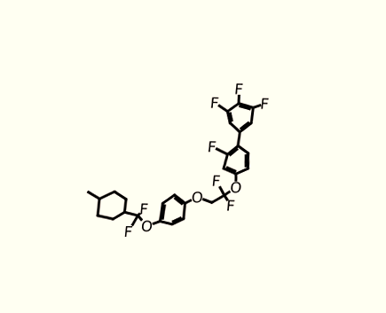 CC1CCC(C(F)(F)Oc2ccc(OCC(F)(F)Oc3ccc(-c4cc(F)c(F)c(F)c4)c(F)c3)cc2)CC1